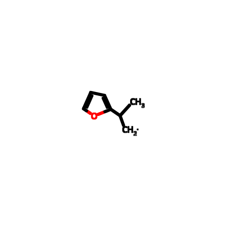 [CH2]C(C)c1ccco1